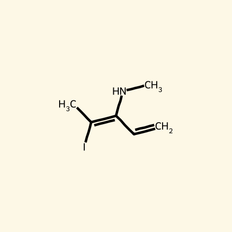 C=C/C(NC)=C(/C)I